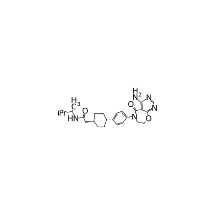 CC(C)C(C)NC(=O)C[C@H]1CC[C@H](c2ccc(N3CCOc4ncnc(N)c4C3=O)cc2)CC1